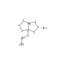 CCOCC12CCCN1C[C@H](F)C2